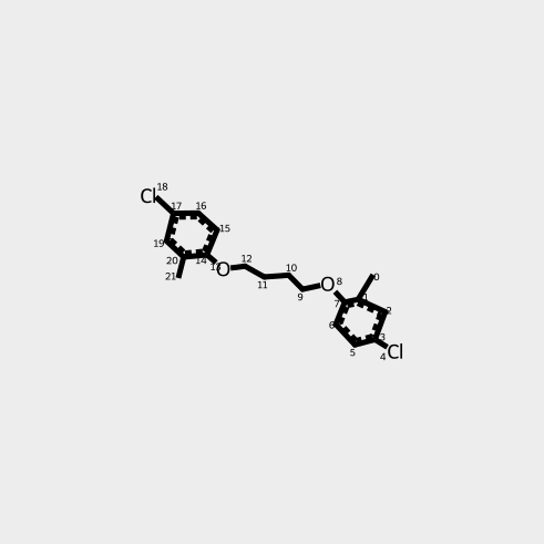 Cc1cc(Cl)ccc1OCCCCOc1ccc(Cl)cc1C